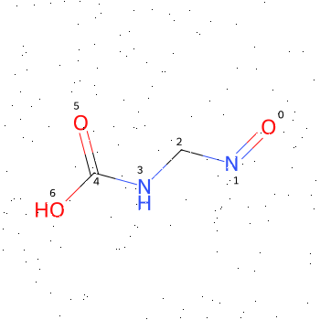 O=NCNC(=O)O